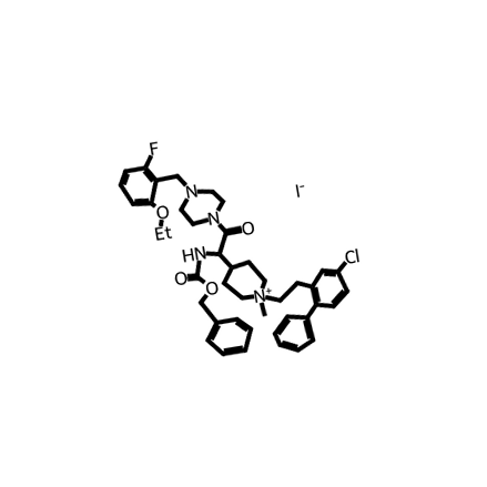 CCOc1cccc(F)c1CN1CCN(C(=O)C(NC(=O)OCc2ccccc2)C2CC[N+](C)(CCc3cc(Cl)ccc3-c3ccccc3)CC2)CC1.[I-]